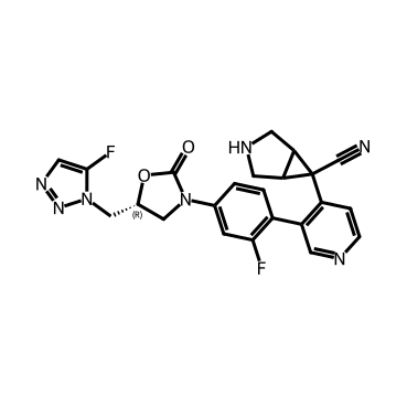 N#CC1(c2ccncc2-c2ccc(N3C[C@H](Cn4nncc4F)OC3=O)cc2F)C2CNCC21